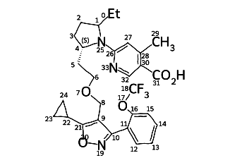 CCC1CC[C@@H](CCOCc2c(-c3ccccc3OC(F)(F)F)noc2C2CC2)N1c1cc(C)c(C(=O)O)cn1